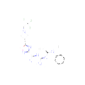 C=C(/N=C(N)\N=C(/N)c1noc(C2CN(CC(F)(F)F)C2)n1)N(C)c1ccccc1